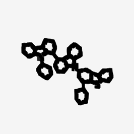 c1ccc(-c2cc(-n3c4ccccc4c4c(-c5cccc6c7ccccc7n(-c7ccccc7)c56)cccc43)cc3c2sc2ccccc23)cc1